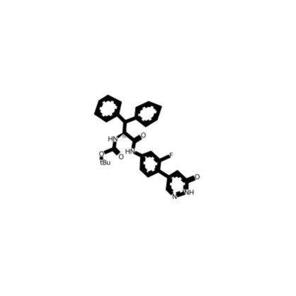 CC(C)(C)OC(=O)N[C@H](C(=O)Nc1ccc(-c2cn[nH]c(=O)c2)c(F)c1)C(c1ccccc1)c1ccccc1